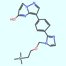 C[Si](C)(C)CCOCn1ccnc1-c1ccc(-c2cnn3ccc(O)nc23)cc1